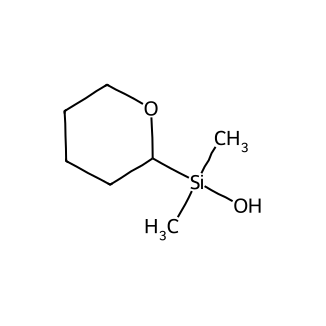 C[Si](C)(O)C1CCCCO1